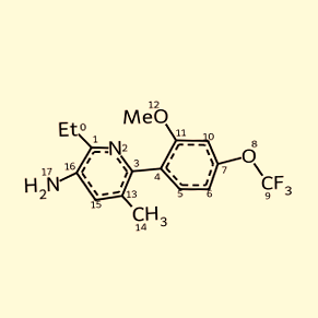 CCc1nc(-c2ccc(OC(F)(F)F)cc2OC)c(C)cc1N